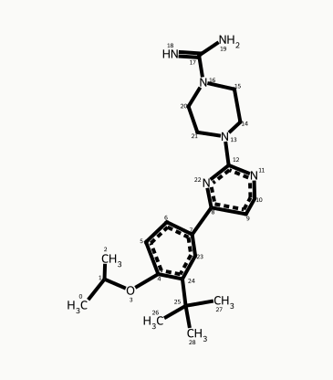 CC(C)Oc1ccc(-c2ccnc(N3CCN(C(=N)N)CC3)n2)cc1C(C)(C)C